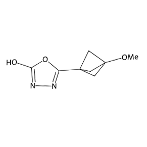 COC12CC(c3nnc(O)o3)(C1)C2